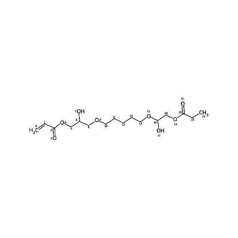 C=CC(=O)OCC(O)COCCCCCOC(O)COC(=O)CC